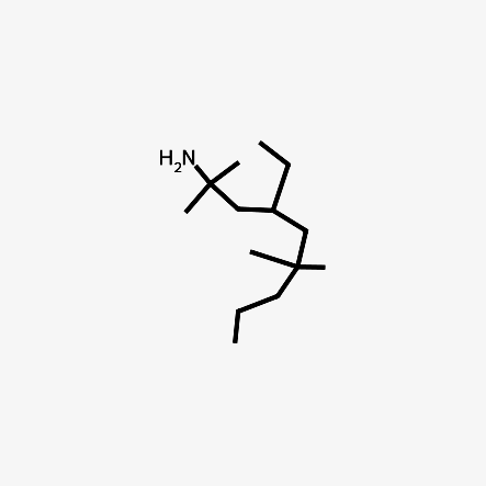 CCCC(C)(C)CC(CC)CC(C)(C)N